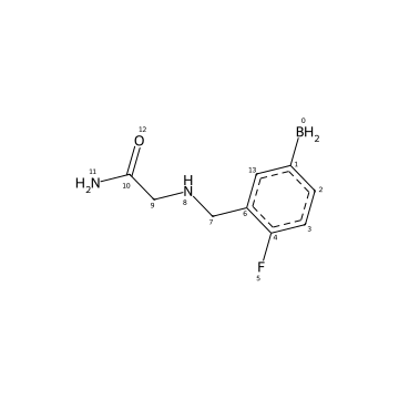 Bc1ccc(F)c(CNCC(N)=O)c1